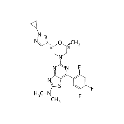 C[C@H]1CN(c2nc(-c3cc(F)c(F)cc3F)c3sc(N(C)C)nc3n2)C[C@H](c2cnn(C3CC3)c2)O1